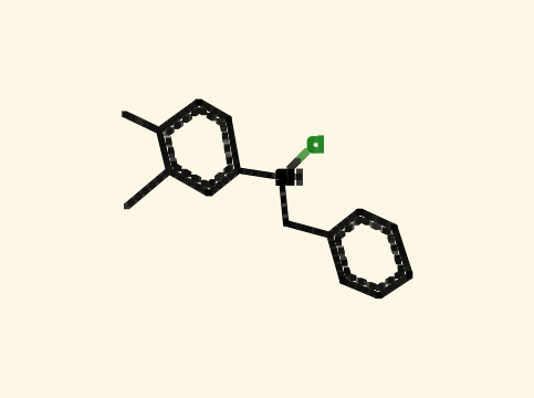 Cc1ccc([SiH](Cl)Cc2ccccc2)cc1C